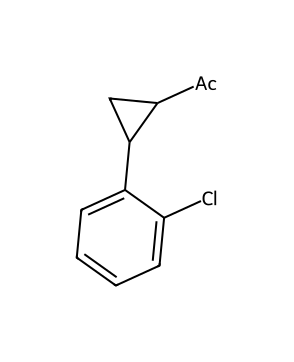 CC(=O)C1CC1c1ccccc1Cl